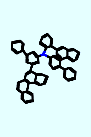 c1ccc(-c2ccc(N(c3cc(-c4ccccc4)cc(-c4cc5ccc6ccccc6c5c5ccccc45)c3)c3ccccc3-c3ccc4ccccc4c3)cc2)cc1